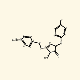 CCCC1C(=O)C(Cc2ccc(C)cc2)N=C1CCc1ccc(OC)cc1